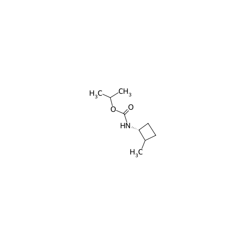 CC(C)OC(=O)N[C@@H]1CCC1C